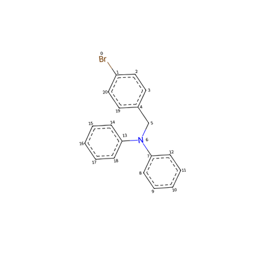 Brc1ccc(CN(c2ccccc2)c2ccccc2)cc1